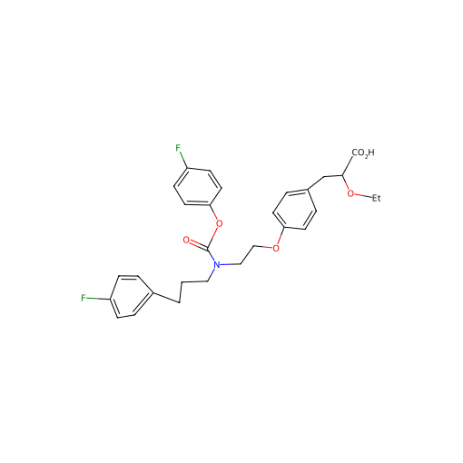 CCOC(Cc1ccc(OCCN(CCCc2ccc(F)cc2)C(=O)Oc2ccc(F)cc2)cc1)C(=O)O